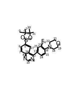 CC1(C)OB(c2ccc3ncnc(-c4ccc(N5CCOCC5)c(F)c4)c3c2)OC1(C)C